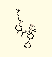 Cc1ccc(N(C)CCCN(C)C)cc1C(=O)Nc1cc(-c2ccccc2)ccc1C(=O)OC(C)(C)C